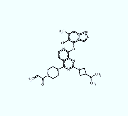 C=CC(=O)N1CCN(c2nc(N3CC(N(C)C)C3)nc3c(Oc4c(Cl)c(C)cc5[nH]ncc45)nccc23)CC1